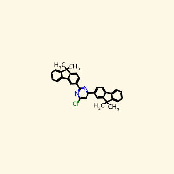 CC1(C)c2ccccc2-c2cc(-c3nc(Cl)cc(-c4ccc5c(c4)C(C)(C)c4ccccc4-5)n3)ccc21